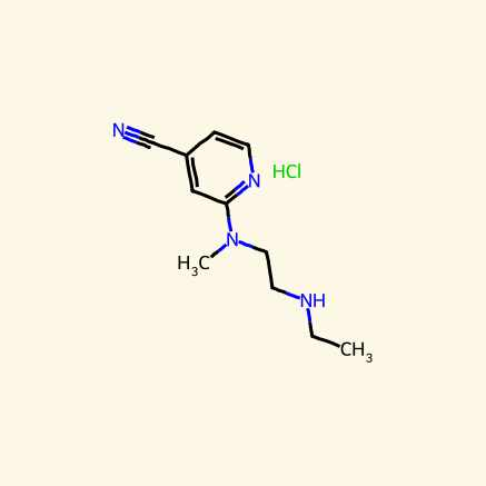 CCNCCN(C)c1cc(C#N)ccn1.Cl